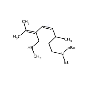 CBCC(/C=C\C(C)CCN(CC)CCCC)=C(C)C